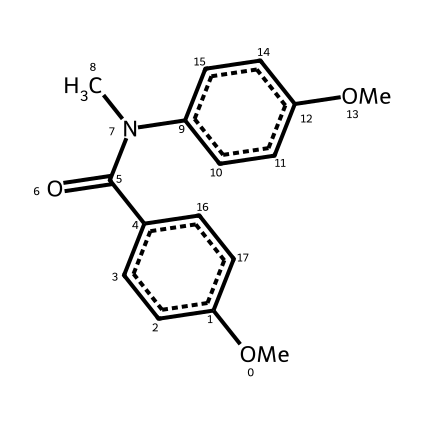 COc1ccc(C(=O)N(C)c2ccc(OC)cc2)cc1